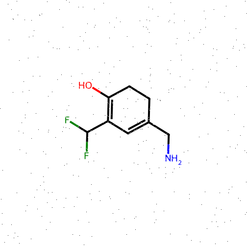 NCC1=CC(C(F)F)=C(O)CC1